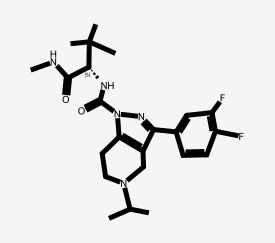 CNC(=O)[C@@H](NC(=O)n1nc(-c2ccc(F)c(F)c2)c2c1CCN(C(C)C)C2)C(C)(C)C